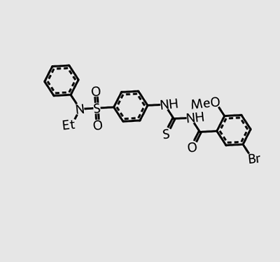 CCN(c1ccccc1)S(=O)(=O)c1ccc(NC(=S)NC(=O)c2cc(Br)ccc2OC)cc1